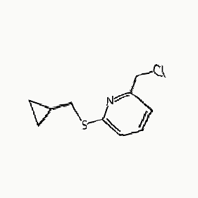 ClCc1cccc(SCC2CC2)n1